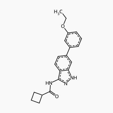 CCOc1cccc(-c2ccc3c(NC(=O)C4CCC4)n[nH]c3c2)c1